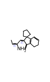 C=C1C2=C(C=CCC2)C2(CCCC2)/C1=C/C(N)=C\C